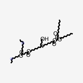 CC/C=C\CCCCOC(CCC(=O)OCCCCCCCN(CCCO)CCCCCCC(=O)OCC(OCCCCCCCC)OCC(=O)CCCCCCCC)OCCCC/C=C\CC